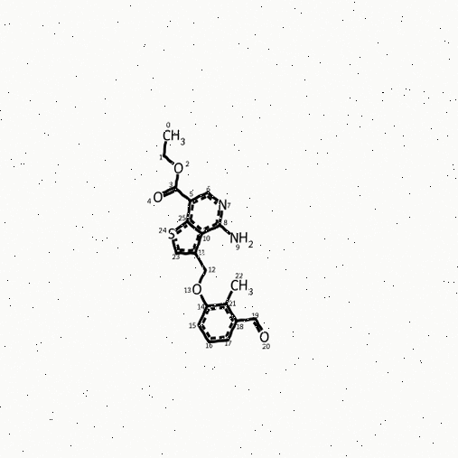 CCOC(=O)c1cnc(N)c2c(COc3cccc(C=O)c3C)csc12